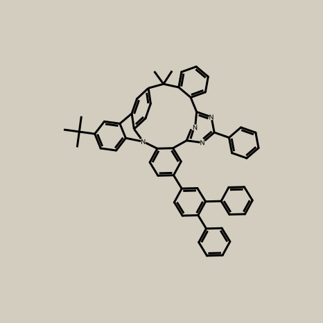 CC(C)(C)c1ccc2c(c1)c1cc3ccc1n2-c1ccc(-c2ccc(-c4ccccc4)c(-c4ccccc4)c2)cc1-c1nc(-c2ccccc2)nc(n1)-c1ccccc1C3(C)C